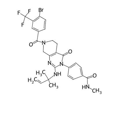 C=CC(C)(C)Nc1nc2c(c(=O)n1-c1ccc(C(=O)NC)cc1)CCN(C(=O)c1ccc(Br)c(C(F)(F)F)c1)C2